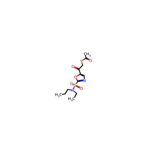 CCCN(CC)S(=O)(=O)c1ncc(C(=O)CSC(C)=O)o1